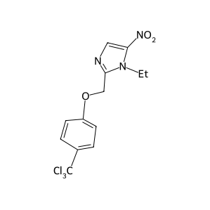 CCn1c([N+](=O)[O-])cnc1COc1ccc(C(Cl)(Cl)Cl)cc1